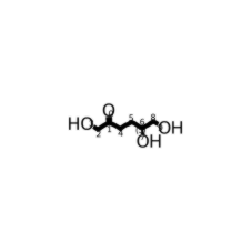 O=C(CO)CC[C@H](O)CO